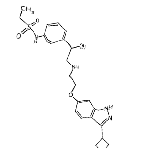 CCS(=O)(=O)Nc1cccc(C(O)CNCCOc2ccc3c(C4CCC4)n[nH]c3c2)c1